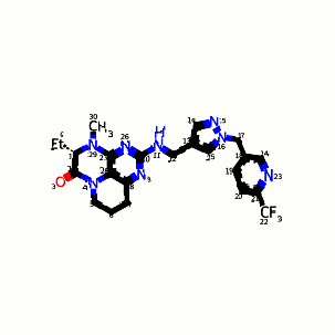 CC[C@H]1C(=O)N2CCCc3nc(NCc4cnn(Cc5ccc(C(F)(F)F)nc5)c4)nc(c32)N1C